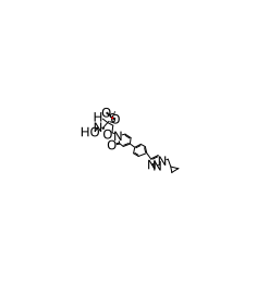 CC(CCn1ccc(-c2ccc(-c3cn(CC4CC4)nn3)cc2)cc1=O)(C(=O)NO)S(C)(=O)=O